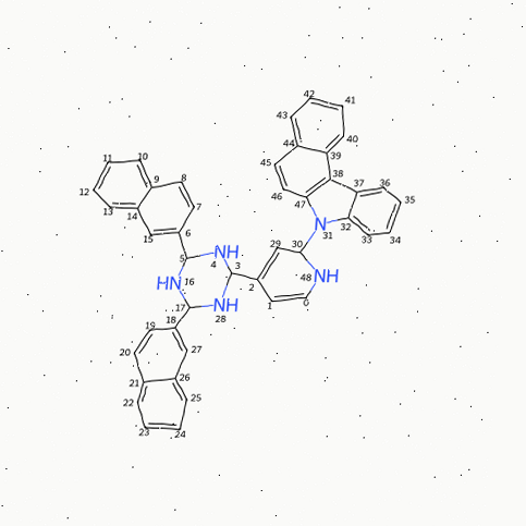 C1=CC(C2NC(c3ccc4ccccc4c3)NC(c3ccc4ccccc4c3)N2)=CC(n2c3ccccc3c3c4ccccc4ccc32)N1